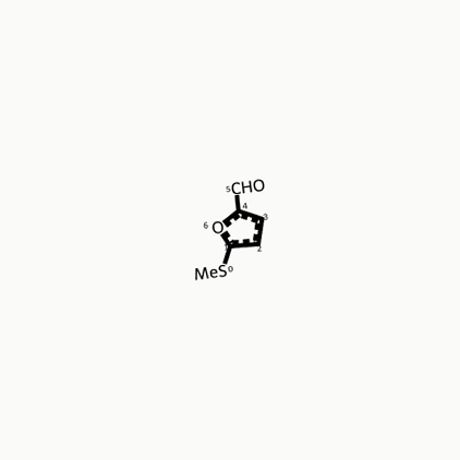 CSc1ccc(C=O)o1